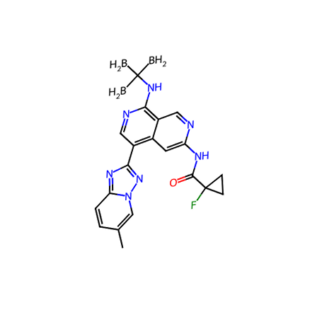 BC(B)(B)Nc1ncc(-c2nc3ccc(C)cn3n2)c2cc(NC(=O)C3(F)CC3)ncc12